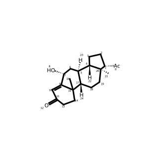 CC(=O)[C@H]1CC[C@H]2[C@@H]3C[C@@H](O)C4=CC(=O)CCC4(C)[C@H]3CC[C@]12C